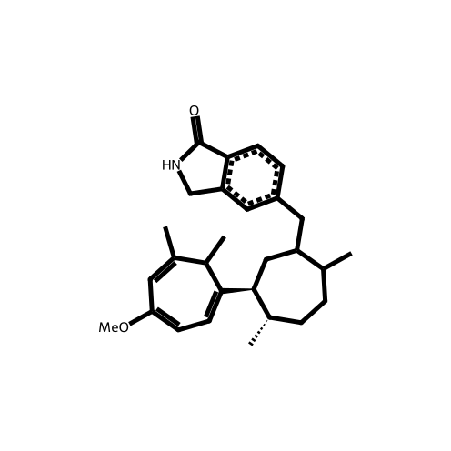 COC1=CC=C([C@H]2CC(Cc3ccc4c(c3)CNC4=O)C(C)CC[C@@H]2C)C(C)C(C)=C1